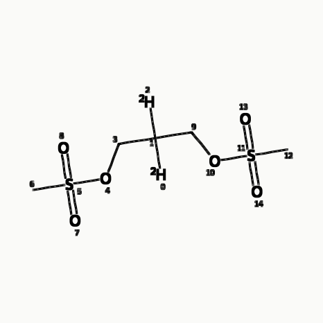 [2H]C([2H])(COS(C)(=O)=O)COS(C)(=O)=O